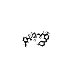 Cc1ccc(CN2CCNCC2)cc1NC(=O)CN1C[C@@H](C)N(S(=O)(=O)c2cccc(C#N)c2)[C@@H](C)C1